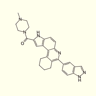 CN1CCN(C(=O)c2cc3c(ccc4nc(-c5ccc6[nH]ncc6c5)c5c(c43)CCCC5)[nH]2)CC1